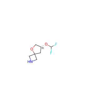 FC(F)O[C@H]1COC2(CNC2)C1